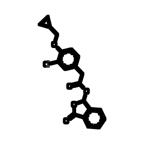 O=C(Cc1ccc(OCC2CC2)c(Cl)c1)OC1OC(=O)c2ccccc21